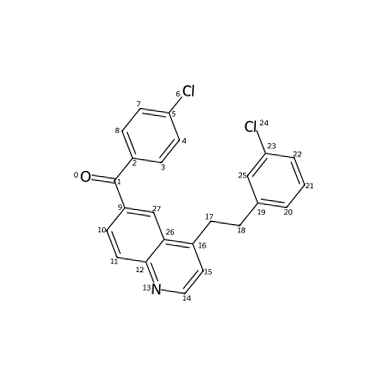 O=C(c1ccc(Cl)cc1)c1ccc2nccc(CCc3cccc(Cl)c3)c2c1